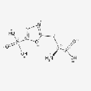 N[C@@H](Cc1ncc(P(=O)(O)O)o1)C(=O)O